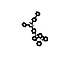 c1ccc(-c2ccc(-c3nc(-c4ccccc4)cc(-c4ccc(-n5c6ccccc6c6c5ccc5c7ccccc7n(-c7ccccc7)c56)cc4)n3)cc2)cc1